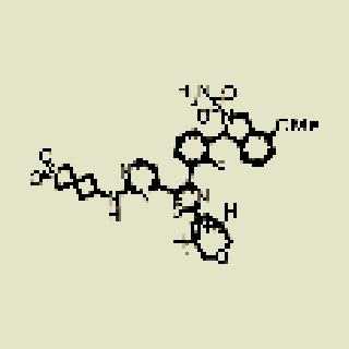 COc1cccc2c1CN(S(N)(=O)=O)C2c1cccc(-c2nc(N3[C@@H]4CC[C@H]3COC4)sc2-c2ccnc(NC3CC4(C3)CS(=O)(=O)C4)n2)c1F